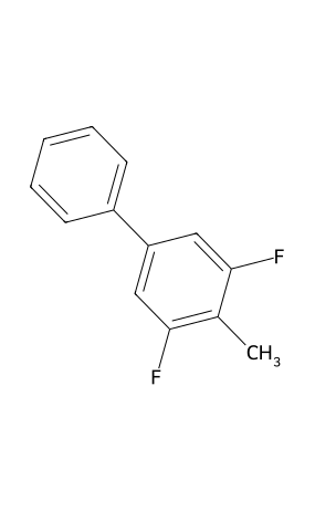 Cc1c(F)cc(-c2ccccc2)cc1F